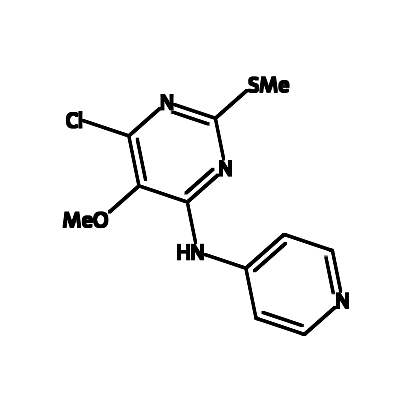 COc1c(Cl)nc(SC)nc1Nc1ccncc1